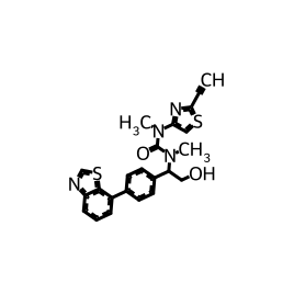 C#Cc1nc(N(C)C(=O)N(C)C(CO)c2ccc(-c3cccc4ncsc34)cc2)cs1